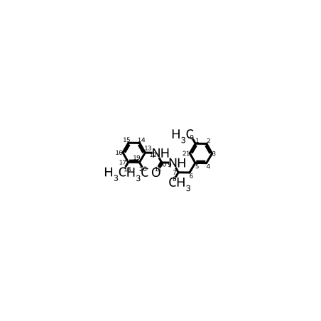 Cc1cccc(CC(C)NC(=O)Nc2cccc(C)c2C)c1